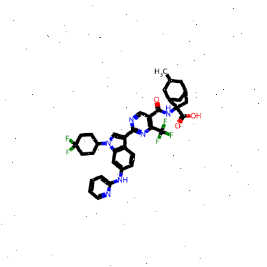 CC1CC2CC(C1)C(NC(=O)c1cnc(-c3cn(C4CCC(F)(F)CC4)c4cc(Nc5ccccn5)ccc34)nc1C(F)(F)F)(C(=O)O)C2